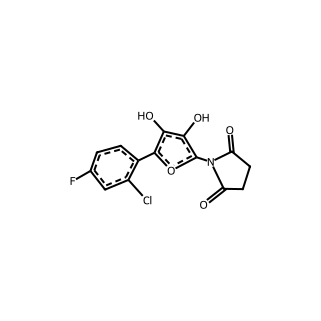 O=C1CCC(=O)N1c1oc(-c2ccc(F)cc2Cl)c(O)c1O